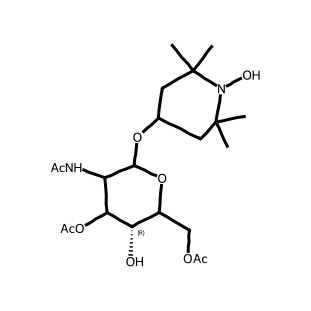 CC(=O)NC1C(OC2CC(C)(C)N(O)C(C)(C)C2)OC(COC(C)=O)[C@H](O)C1OC(C)=O